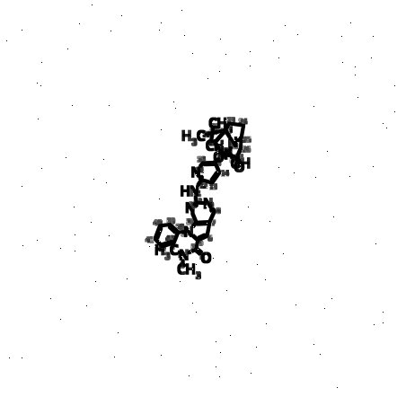 CN(C)C(=O)c1cc2cnc(Nc3ccc(N4CC5(C(C)(C)C)CCC(CC4=O)N5C(=O)O)cn3)nc2n1-c1ccccc1